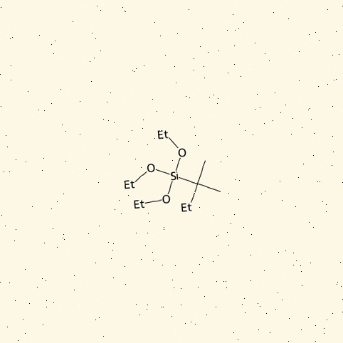 [CH2]CC(C)(C)[Si](OCC)(OCC)OCC